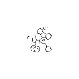 CC1C=CC(C23CC4CC(CC(C4)C2)C3)=[C]1/[Zr+2](=[CH]/Cc1ccccc1)[CH]1c2ccccc2-c2ccccc21.[Cl-].[Cl-]